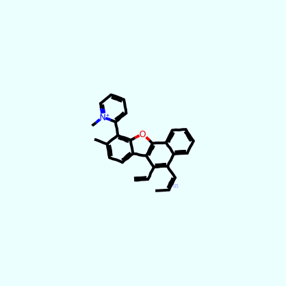 C=Cc1c(/C=C\C)c2ccccc2c2oc3c(-c4cccc[n+]4C)c(C)ccc3c12